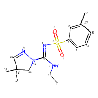 CCN/C(=N\S(=O)(=O)c1cccc(C)c1)N1CC(C)(C)C=N1